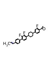 C/C=C/c1ccc(-c2ccc(C3CCC(c4ccc(C5CO5)c(F)c4)CC3)c(F)c2F)cc1